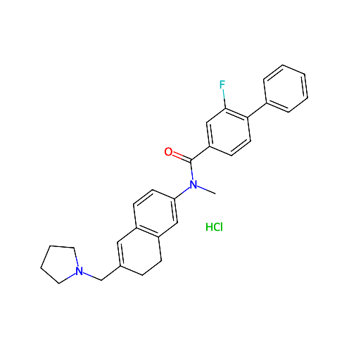 CN(C(=O)c1ccc(-c2ccccc2)c(F)c1)c1ccc2c(c1)CCC(CN1CCCC1)=C2.Cl